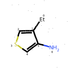 CCc1cscc1N